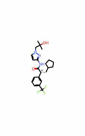 CC(C)(O)Cn1ccc(NC(=O)[C@H](CC2CCCC2)c2cccc(C(F)(F)F)c2)n1